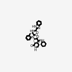 O=C(NC1CCCCC1)C(=O)[C@H](C[C@@H]1CCCNC1=O)NC(=O)[C@H](Cc1ccccc1)NC(=O)c1nc2ccccc2[nH]1